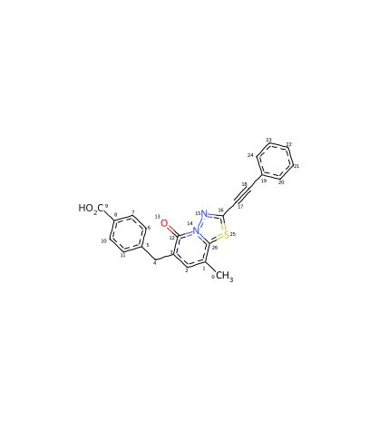 Cc1cc(Cc2ccc(C(=O)O)cc2)c(=O)n2nc(C#Cc3ccccc3)sc12